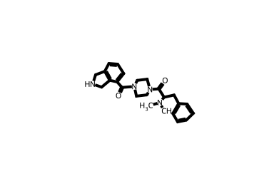 CN(C)C(Cc1ccccc1)C(=O)N1CCN(C(=O)c2cccc3c2CNC3)CC1